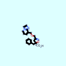 O=C(O)C1(Cc2ccccc2)CC(COCc2cccn3ccnc23)=NO1